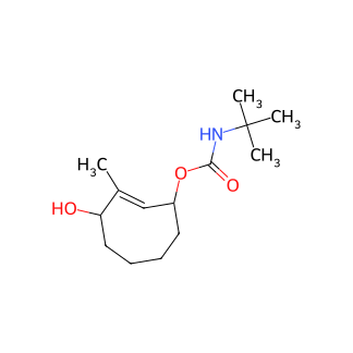 C/C1=C\C(OC(=O)NC(C)(C)C)CCCCC1O